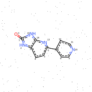 O=c1[nH]c2ccc(-c3ccncc3)nc2[nH]1